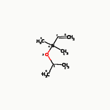 [CH2]C(C)O[Si](C)(C)C=C